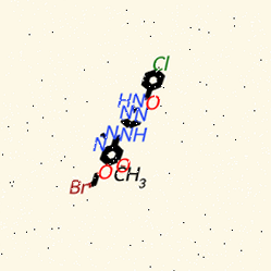 COc1cc2c(Nc3cnc(NC(=O)c4ccc(Cl)cc4)nc3)ncnc2cc1OCCBr